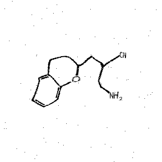 N#CC(CN)CC1CCc2ccccc2O1